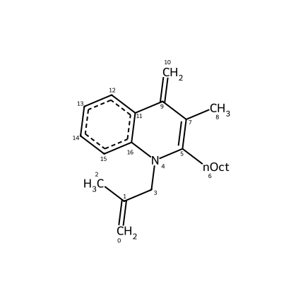 C=C(C)CN1C(CCCCCCCC)=C(C)C(=C)c2ccccc21